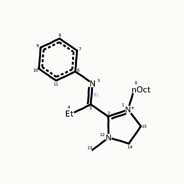 CCCCCCCC[N+]1=C(/C(CC)=N/c2ccccc2)N(C)CC1